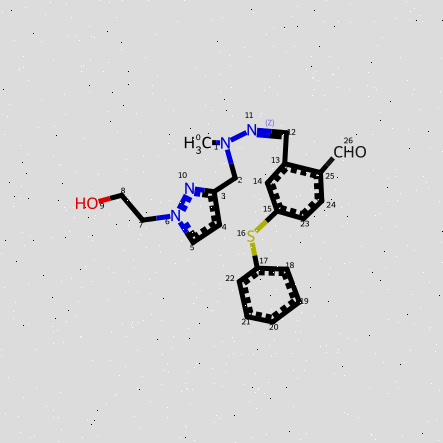 CN(Cc1ccn(CCO)n1)/N=C\c1cc(Sc2ccccc2)ccc1C=O